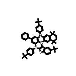 CC(C)(C)c1ccc(N2c3cc4c(cc3B3c5c2cc(-c2ccccc2)cc5N(c2ccc(C(C)(C)C)cc2)c2sc5ccc(C(C)(C)C)cc5c23)C(C)(C)CCC4(C)C)cc1